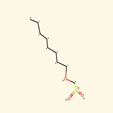 CCCCCCCCOC[SH](=O)=O